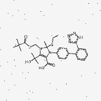 CCSC1(C)N(COC(=O)C(C)(C)C)C(C(C)(C)O)=C(C(=O)O)N1c1ccc(-c2ccccc2-c2nnn[nH]2)cc1